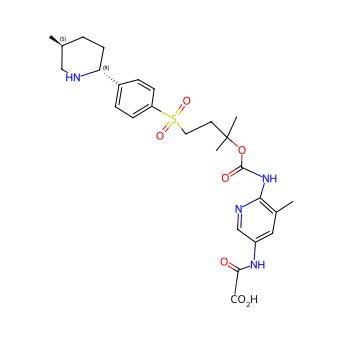 Cc1cc(NC(=O)C(=O)O)cnc1NC(=O)OC(C)(C)CCS(=O)(=O)c1ccc([C@H]2CC[C@H](C)CN2)cc1